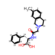 Cc1ccc2c(c1)CN(CC(=O)N[C@@H](Cc1ccccc1)B(O)O)CC2